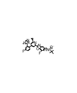 Cn1cnnc1-c1cc(F)ccc1-c1cc(-c2nc3cc(CN[S+]([O-])C(C)(C)C)cc(F)c3o2)nc(C2CC2)c1